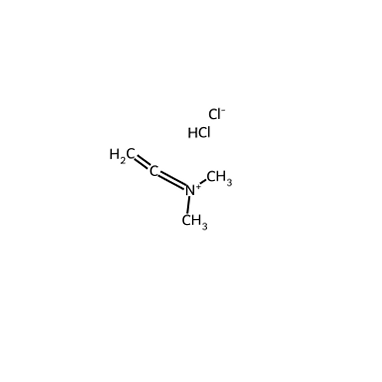 C=C=[N+](C)C.Cl.[Cl-]